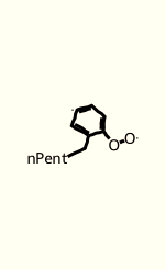 CCCCCCc1c[c]ccc1O[O]